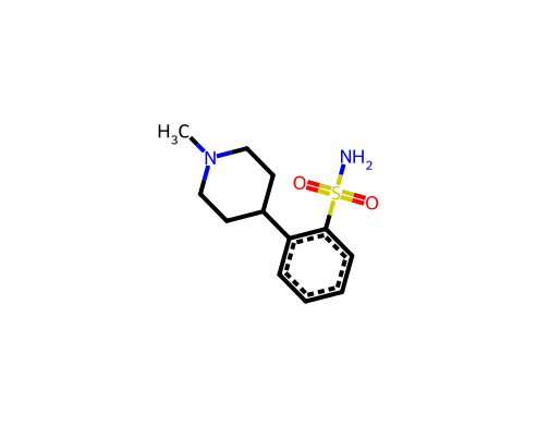 CN1CCC(c2ccccc2S(N)(=O)=O)CC1